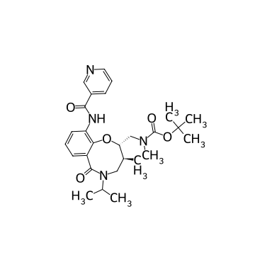 CC(C)N1C[C@H](C)[C@@H](CN(C)C(=O)OC(C)(C)C)Oc2c(NC(=O)c3cccnc3)cccc2C1=O